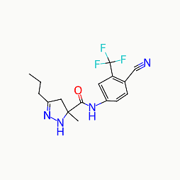 CCCC1=NNC(C)(C(=O)Nc2ccc(C#N)c(C(F)(F)F)c2)C1